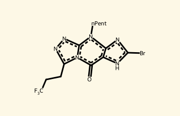 CCCCCn1c2nc(Br)[nH]c2c(=O)n2c(CCC(F)(F)F)nnc12